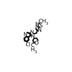 Cc1nn2cc(Cc3nc4cnc5ccc(Cl)cc5c4n3C3CCO[C@H](C)C3)nc2s1